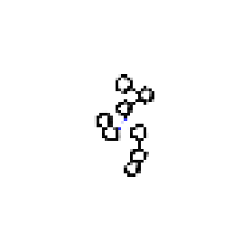 c1ccc(-c2ccccc2-c2cccc(N(c3cccc(-c4ccc5ccccc5c4)c3)c3cccc4ccccc34)c2)cc1